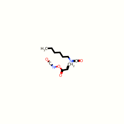 C=CC(=O)ON=C=O.CCCCCCN=C=O